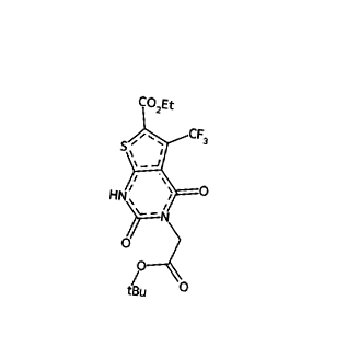 CCOC(=O)c1sc2[nH]c(=O)n(CC(=O)OC(C)(C)C)c(=O)c2c1C(F)(F)F